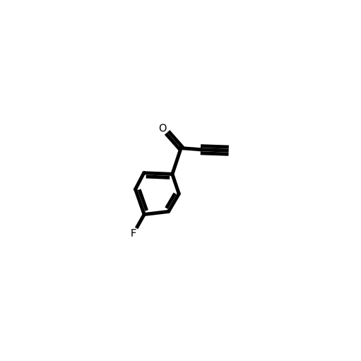 C#CC(=O)c1ccc(F)cc1